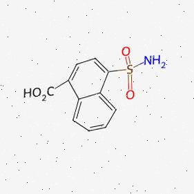 NS(=O)(=O)c1ccc(C(=O)O)c2ccccc12